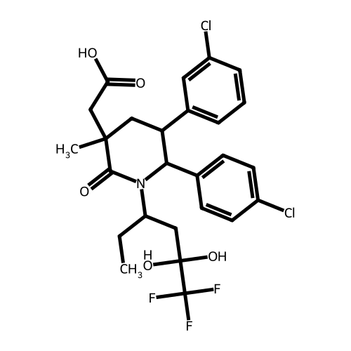 CCC(CC(O)(O)C(F)(F)F)N1C(=O)C(C)(CC(=O)O)CC(c2cccc(Cl)c2)C1c1ccc(Cl)cc1